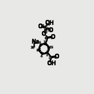 O=C(O)c1cccc(C(=O)OS(=O)(=O)O)c1.[CH3][Na]